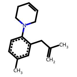 C=C(C)Cc1cc(C)ccc1N1CC=CCC1